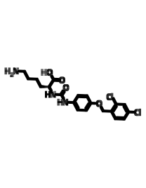 NCCCC[C@H](NC(=O)Nc1ccc(OCc2ccc(Cl)cc2Cl)cc1)C(=O)O